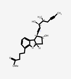 CC#CC[C@H](C)[C@H](O)/C=C/[C@@H]1C2c3cccc(CCCC(=O)OC)c3O[C@H]2C[C@H]1O